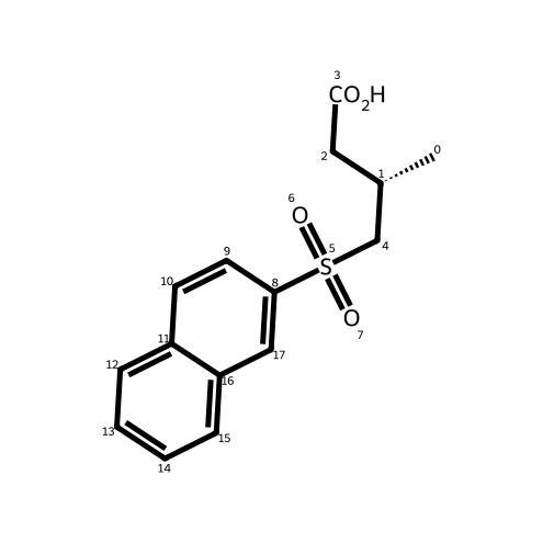 C[C@@H](CC(=O)O)CS(=O)(=O)c1ccc2ccccc2c1